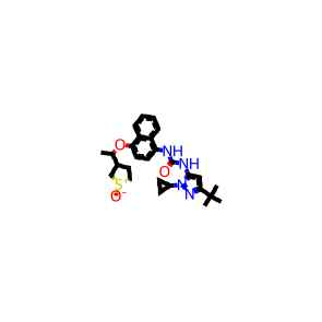 CC(Oc1ccc(NC(=O)Nc2cc(C(C)(C)C)nn2C2CC2)c2ccccc12)C1CC[S+]([O-])C1